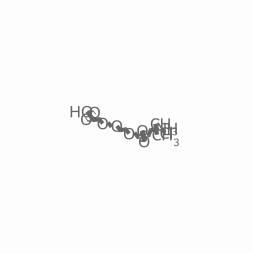 CC(C)(CCS(=O)(=O)CCOCCOCCOCCS(=O)(=O)O)NCl